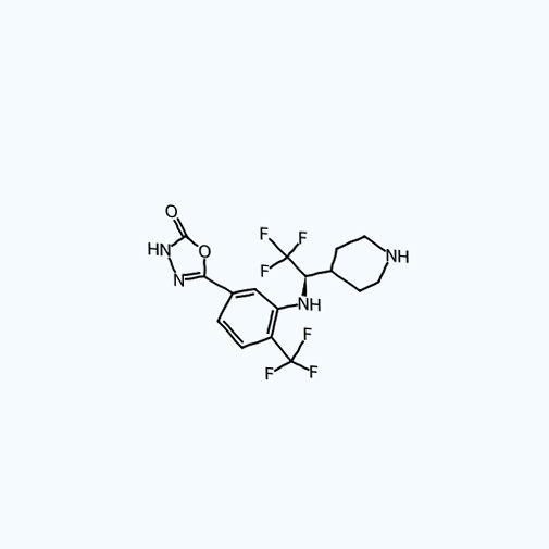 O=c1[nH]nc(-c2ccc(C(F)(F)F)c(N[C@H](C3CCNCC3)C(F)(F)F)c2)o1